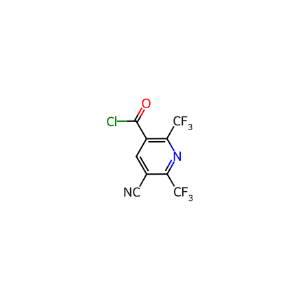 N#Cc1cc(C(=O)Cl)c(C(F)(F)F)nc1C(F)(F)F